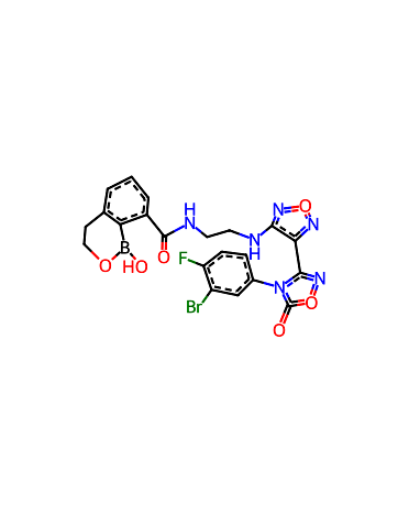 O=C(NCCNc1nonc1-c1noc(=O)n1-c1ccc(F)c(Br)c1)c1cccc2c1B(O)OCC2